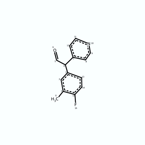 Cc1cc(C(C=O)c2ccncc2)ccc1F